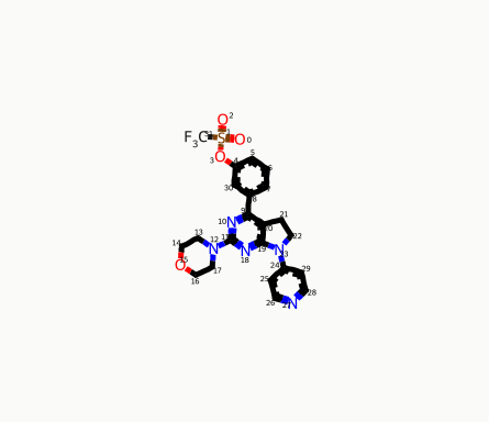 O=S(=O)(Oc1cccc(-c2nc(N3CCOCC3)nc3c2CCN3c2ccncc2)c1)C(F)(F)F